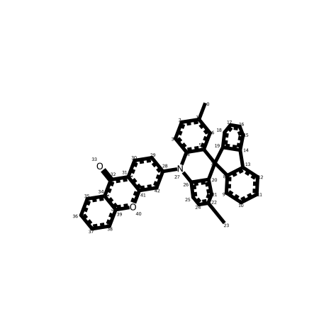 Cc1ccc2c(c1)C1(c3ccccc3-c3ccccc31)c1cc(C)ccc1N2c1ccc2c(=O)c3ccccc3oc2c1